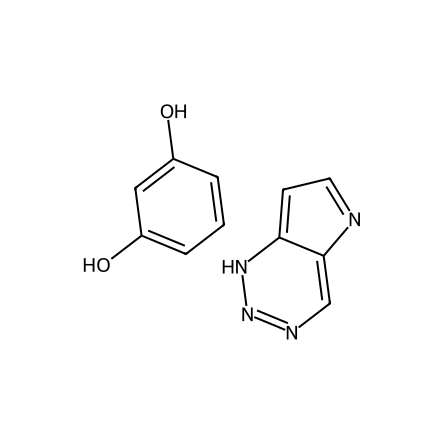 Oc1cccc(O)c1.c1cc2[nH]nncc-2n1